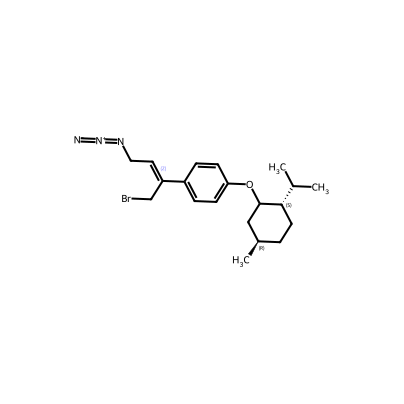 CC(C)[C@@H]1CC[C@@H](C)CC1Oc1ccc(/C(=C/CN=[N+]=[N-])CBr)cc1